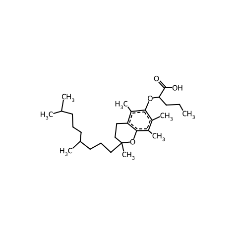 CCCC(Oc1c(C)c(C)c2c(c1C)CCC(C)(CCCC(C)CCCC(C)C)O2)C(=O)O